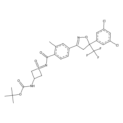 Cc1cc(C2=NOC(c3cc(Cl)cc(Cl)c3)(C(F)(F)F)C2)ccc1C(=O)N=S1(=O)CC(NC(=O)OC(C)(C)C)C1